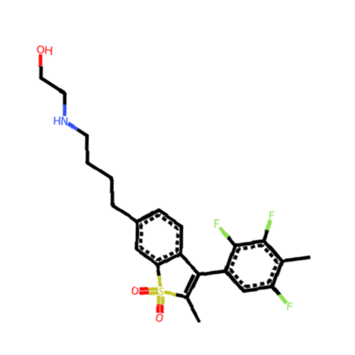 CC1=C(c2cc(F)c(C)c(F)c2F)c2ccc(CCCCNCCO)cc2S1(=O)=O